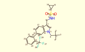 CC(C)(C)Cn1cc(CNS(=O)(=O)C2CC2)c2ccc(-c3ccccc3C(F)(F)F)cc21